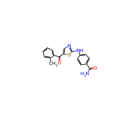 Cc1ccccc1C(=O)c1cnc(Nc2ccc(C(N)=O)cc2)s1